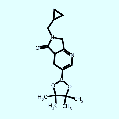 CC1(C)OB(C2=CN=C3CN(CC4CC4)C(=O)C3C2)OC1(C)C